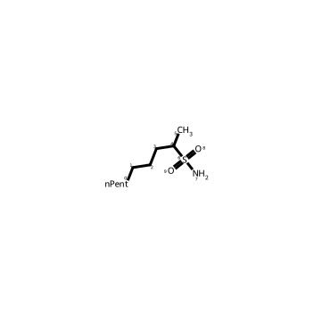 CCCCCCCCC(C)S(N)(=O)=O